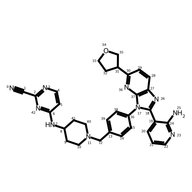 N#Cc1nccc(NC2CCN(Cc3ccc(-n4c(-c5cccnc5N)nc5ccc(C6CCOC6)nc54)cc3)CC2)n1